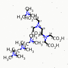 CN(C)C.CN(C)C.CN(C)C.CN(C)C.O=C(O)CN(CCN(CC(=O)O)CC(=O)O)CC(=O)O